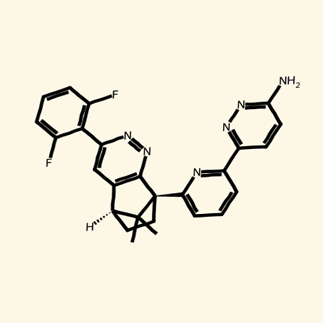 CC1(C)[C@H]2CC[C@@]1(c1cccc(-c3ccc(N)nn3)n1)c1nnc(-c3c(F)cccc3F)cc12